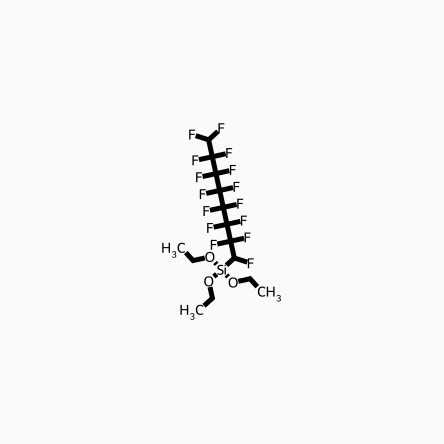 CCO[Si](OCC)(OCC)C(F)C(F)(F)C(F)(F)C(F)(F)C(F)(F)C(F)(F)C(F)(F)C(F)F